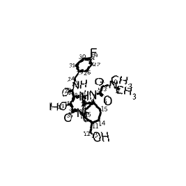 CN(C)C(=O)C(=O)NC12CCC(CO)(CC1)Cn1c2nc(C(=O)NCc2ccc(F)cc2)c(O)c1=O